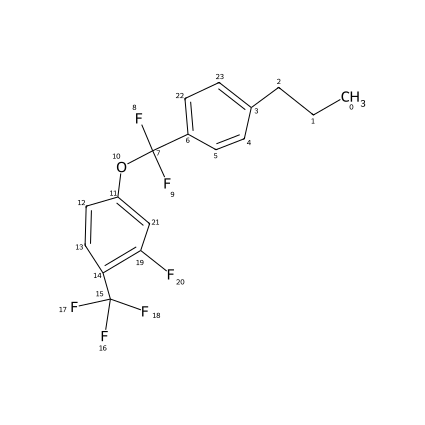 CCCc1ccc(C(F)(F)Oc2ccc(C(F)(F)F)c(F)c2)cc1